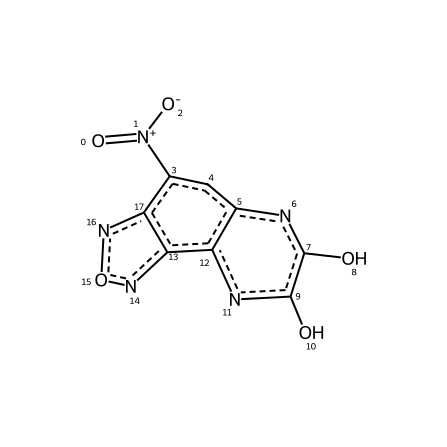 O=[N+]([O-])c1cc2nc(O)c(O)nc2c2nonc12